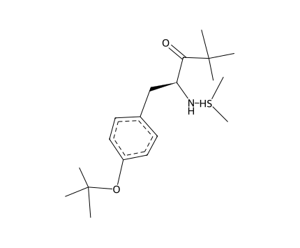 C[SH](C)N[C@@H](Cc1ccc(OC(C)(C)C)cc1)C(=O)C(C)(C)C